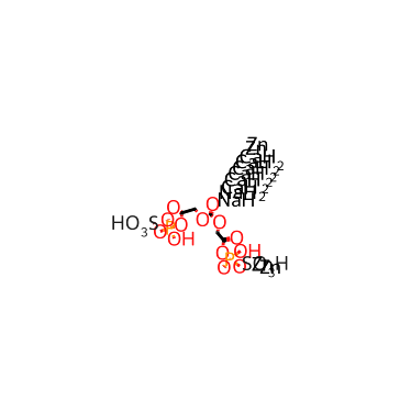 O=C(COC(=O)OCC(=O)OP(=O)(O)OS(=O)(=O)O)OP(=O)(O)OS(=O)(=O)O.[CaH2].[CaH2].[CaH2].[CaH2].[CaH2].[CaH2].[NaH].[NaH].[Zn].[Zn].[Zn].[Zn]